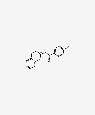 O=C(N[C@@H]1CCc2ccccc2C1)c1ccc(F)cc1